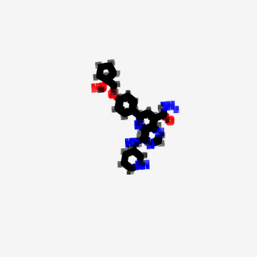 NC(=O)c1cc(-c2ccc(OCC3(O)CCCC3)cc2)nc2c(N[C@H]3CCCNC3)ncnc12